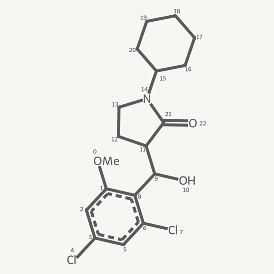 COc1cc(Cl)cc(Cl)c1C(O)C1CCN(C2CCCCC2)C1=O